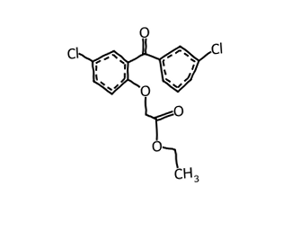 CCOC(=O)COc1ccc(Cl)cc1C(=O)c1cccc(Cl)c1